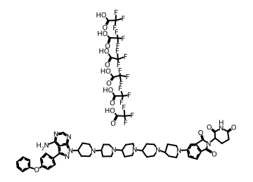 Nc1ncnc2c1c(-c1ccc(Oc3ccccc3)cc1)nn2C1CCN(C2CCN(C3CCN(C4CCN(C5CCN(c6ccc7c(c6)C(=O)N(C6CCC(=O)NC6=O)C7=O)CC5)CC4)CC3)CC2)CC1.O=C(O)C(F)(F)F.O=C(O)C(F)(F)F.O=C(O)C(F)(F)F.O=C(O)C(F)(F)F.O=C(O)C(F)(F)F.O=C(O)C(F)(F)F